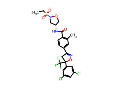 CCS(=O)(=O)N1C[C@@H](NC(=O)c2ccc(C3=NOC(c4cc(Cl)cc(Cl)c4)(C(F)(F)F)C3)cc2C)CO1